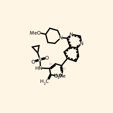 C=C(OC)/C(=C\C(=C/N)c1ccc2ncnc(N3CCC(OC)CC3)c2c1)NS(=O)(=O)C1CC1